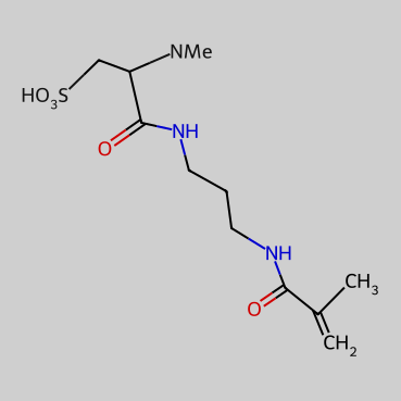 C=C(C)C(=O)NCCCNC(=O)C(CS(=O)(=O)O)NC